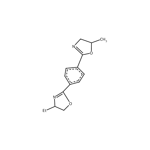 CCC1COC(c2ccc(C3=NCC(C)O3)cc2)=N1